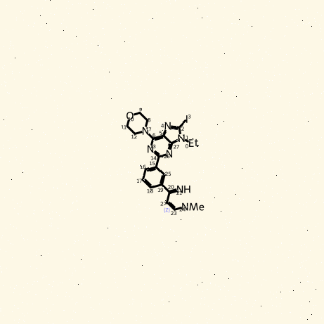 CCn1c(I)nc2c(N3CCOCC3)nc(-c3cccc(C(=N)/C=C\NC)c3)nc21